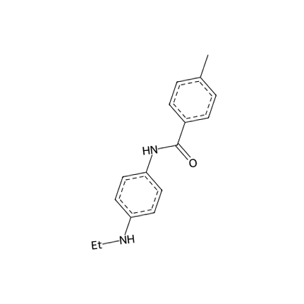 CCNc1ccc(NC(=O)c2ccc(C)cc2)cc1